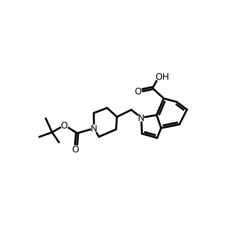 CC(C)(C)OC(=O)N1CCC(Cn2ccc3cccc(C(=O)O)c32)CC1